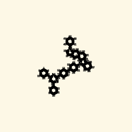 c1ccc(-c2cc(-c3ccccc3)nc(-c3ccc(-c4ccc(-n5c6ccccc6c6ccc7cc8c(ccn8-c8ccccc8)cc7c65)cc4)cc3)n2)cc1